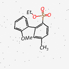 CCOS(=O)(=O)c1ccc(C)cc1-c1ccccc1OC